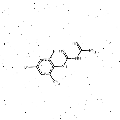 Cc1cc(Br)cc(F)c1NC(=N)NC(=N)N